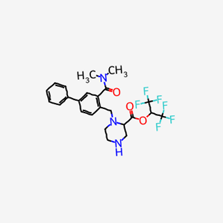 CN(C)C(=O)c1cc(-c2ccccc2)ccc1CN1CCNCC1C(=O)OC(C(F)(F)F)C(F)(F)F